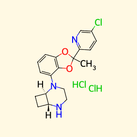 CC1(c2ccc(Cl)cn2)Oc2cccc(N3CCN[C@@H]4CC[C@H]43)c2O1.Cl.Cl